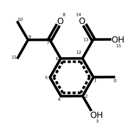 Cc1c(O)ccc(C(=O)C(C)C)c1C(=O)O